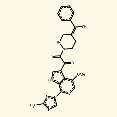 COc1cnc(-n2cnc(C)n2)c2[nH]cc(C(=O)C(=O)N3CC/C(=C(\C#N)c4ccccc4)CN3)c12